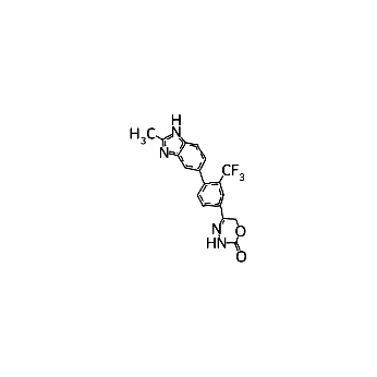 Cc1nc2cc(-c3ccc(C4=NNC(=O)OC4)cc3C(F)(F)F)ccc2[nH]1